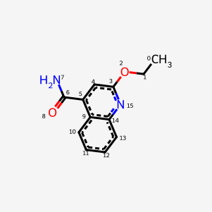 CCOc1cc(C(N)=O)c2ccccc2n1